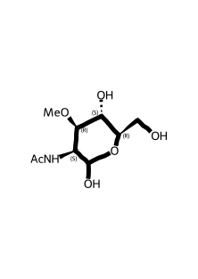 CO[C@H]1[C@H](O)[C@@H](CO)OC(O)[C@H]1NC(C)=O